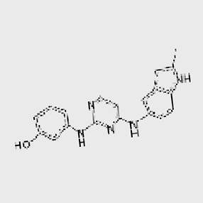 Cc1cc2cc(Nc3ccnc(Nc4cccc(O)c4)n3)ccc2[nH]1